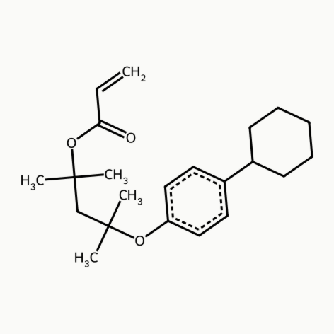 C=CC(=O)OC(C)(C)CC(C)(C)Oc1ccc(C2CCCCC2)cc1